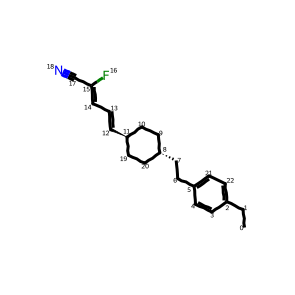 CCc1ccc(CC[C@H]2CC[C@H](C=CC=C(F)C#N)CC2)cc1